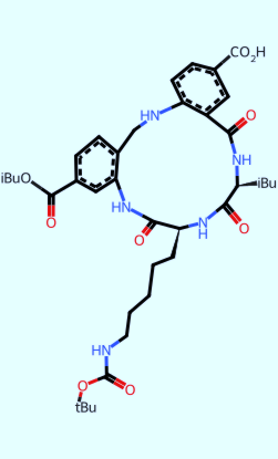 CCC(C)[C@@H]1NC(=O)c2cc(C(=O)O)ccc2NCc2ccc(C(=O)OCC(C)C)cc2NC(=O)[C@H](CCCCCNC(=O)OC(C)(C)C)NC1=O